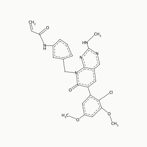 C=CC(=O)Nc1cccc(Cn2c(=O)c(-c3cc(OC)cc(OC)c3Cl)cc3cnc(NC)nc32)c1